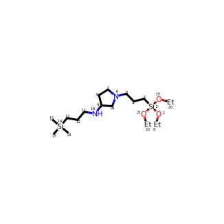 CCO[Si](CCCN1CCC(NCCC[Si](C)(C)C)C1)(OCC)OCC